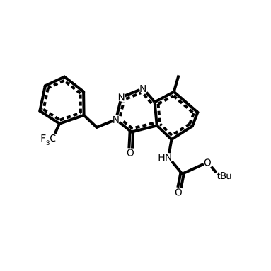 Cc1ccc(NC(=O)OC(C)(C)C)c2c(=O)n(Cc3ccccc3C(F)(F)F)nnc12